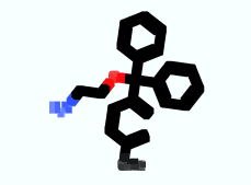 C=C(/C=C\C(=C)C(OCCN)(c1ccccc1)c1ccccc1)OC